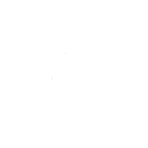 O=Cc1cc(F)c2c(c1F)OCO2